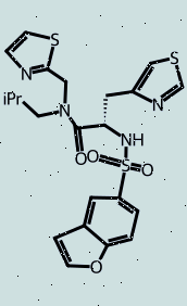 CC(C)CN(Cc1nccs1)C(=O)[C@H](Cc1cscn1)NS(=O)(=O)c1ccc2occc2c1